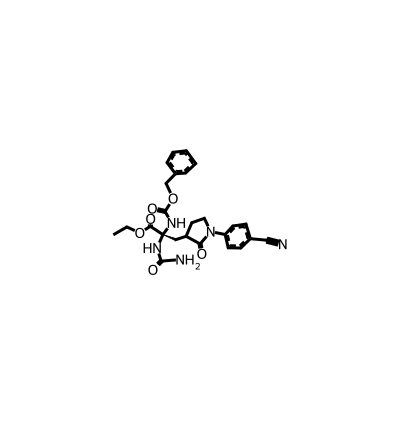 CCOC(=O)[C@@](CC1CCN(c2ccc(C#N)cc2)C1=O)(NC(N)=O)NC(=O)OCc1ccccc1